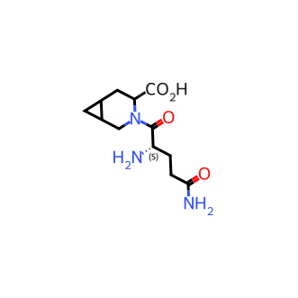 NC(=O)CC[C@H](N)C(=O)N1CC2CC2CC1C(=O)O